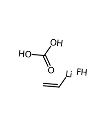 F.O=C(O)O.[Li][CH]=C